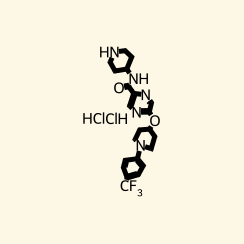 Cl.Cl.O=C(NC1CCNCC1)c1cnc(OC2CCN(c3ccc(C(F)(F)F)cc3)CC2)cn1